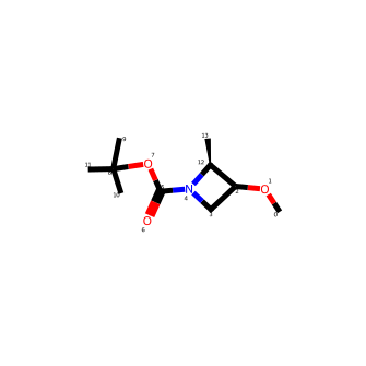 COC1CN(C(=O)OC(C)(C)C)[C@H]1C